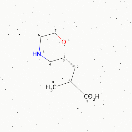 CC(C[C@@H]1CNCCO1)C(=O)O